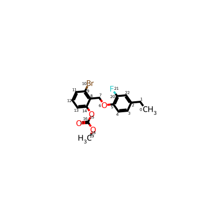 CCc1ccc(OCc2c(Br)cccc2OC(=O)OC)c(F)c1